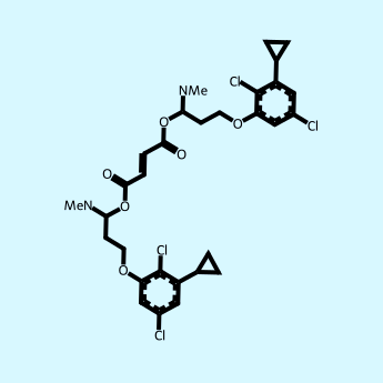 CNC(CCOc1cc(Cl)cc(C2CC2)c1Cl)OC(=O)/C=C/C(=O)OC(CCOc1cc(Cl)cc(C2CC2)c1Cl)NC